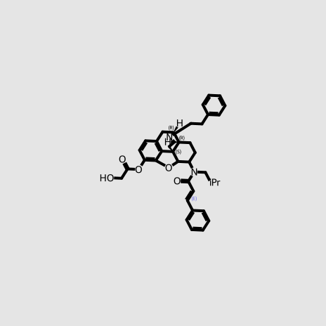 CC(C)CN(C(=O)/C=C/c1ccccc1)C1CC[C@H]2[C@H]3Cc4ccc(OC(=O)CO)c5c4[C@@]2(CCN3CCc2ccccc2)C1O5